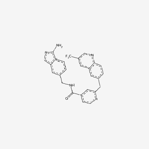 Nc1ncc2cc(CNC(=O)c3ccnc(Cc4ccc5ncc(C(F)(F)F)cc5c4)c3)ccn12